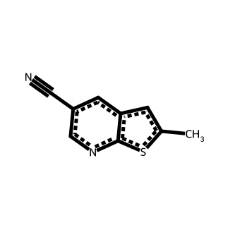 Cc1cc2cc(C#N)cnc2s1